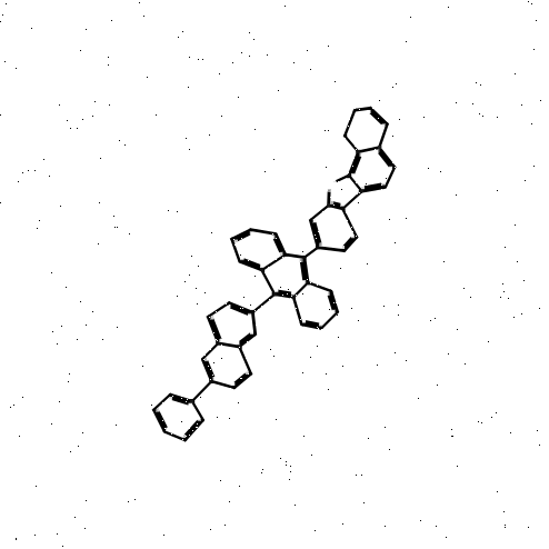 C1=Cc2ccc3c(oc4cc(-c5c6ccccc6c(-c6ccc7cc(-c8ccccc8)ccc7c6)c6ccccc56)ccc43)c2CC1